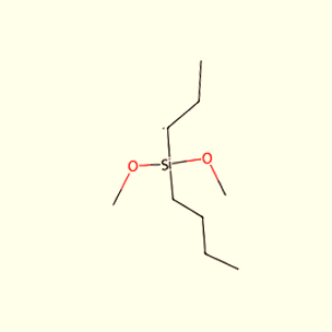 CC[CH][Si](CCCC)(OC)OC